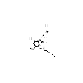 CC(C)(C)OC(=O)N[C@H]1C(=O)N2[C@@H](C(=O)NCCCN=[N+]=[N-])C(CC(=O)O)=CC(S)[C@@H]12